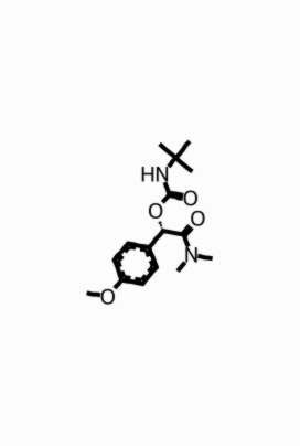 COc1ccc([C@H](OC(=O)NC(C)(C)C)C(=O)N(C)C)cc1